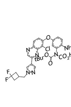 CC(C)(C)OC(=O)N(C(=O)O)c1cc(Oc2ccc3ncc(-c4cnn(CC5CC(F)(F)C5)c4)nc3c2Cl)ccc1N